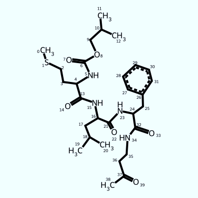 CSCCC(NC(=O)OCC(C)C)C(=O)NC(CC(C)C)C(=O)NC(Cc1ccccc1)C(=O)NCCC(C)=O